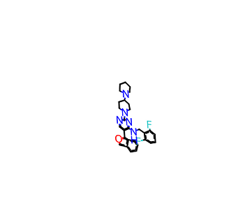 Fc1cccc(F)c1CNc1nc(N2CCC(N3CCCCC3)CC2)ncc1-c1occ2ccccc12